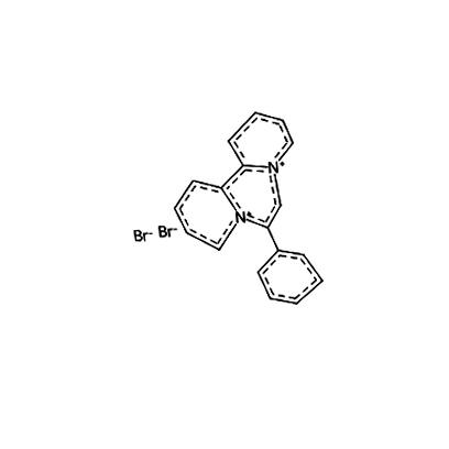 [Br-].[Br-].c1ccc(-c2c[n+]3ccccc3c3cccc[n+]23)cc1